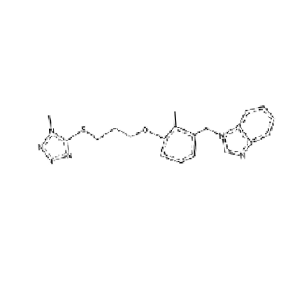 Cc1c(Cn2cnc3ccccc32)cccc1OCCCSc1nnnn1C